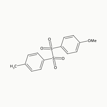 COc1ccc(S(=O)(=O)S(=O)(=O)c2ccc(C)cc2)cc1